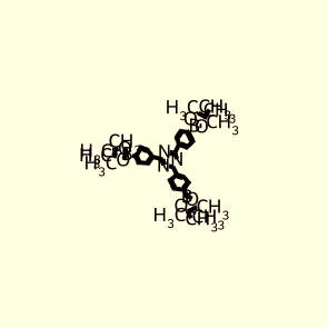 CC1(C)OB(c2ccc(-c3nc(-c4ccc(B5OC(C)(C)C(C)(C)O5)cc4)nc(-c4ccc(B5OC(C)(C)C(C)(C)O5)cc4)n3)cc2)OC1(C)C